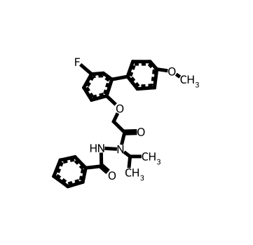 COc1ccc(-c2cc(F)ccc2OCC(=O)N(NC(=O)c2ccccc2)C(C)C)cc1